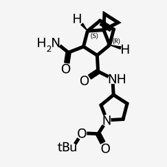 CC(C)(C)OC(=O)N1CCC(NC(=O)C2C(C(N)=O)[C@@H]3C=C[C@H]2C32CC2)C1